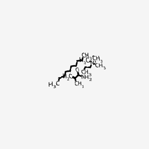 C=C(C)C(N)=O.CCCCCCCCCC.CCC[N+](C)(C)C